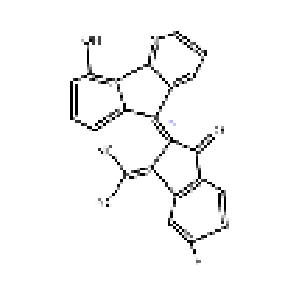 N#CC(C#N)=C1/C(=C2/c3cccnc3-c3c(O)cccc32)C(=O)c2ccc(F)cc21